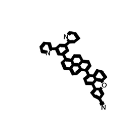 N#Cc1ccc2c(c1)Oc1cccc3c(-c4ccc5ccc6c(-c7cc(-c8ccccn8)cc(-c8ccccn8)c7)ccc7ccc4c5c76)ccc-2c13